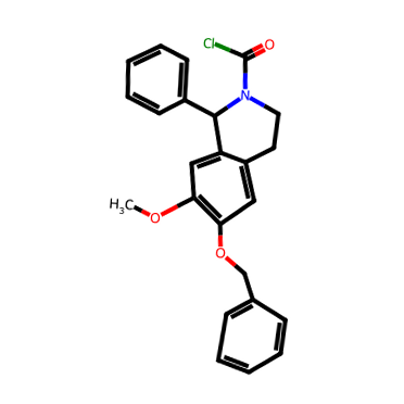 COc1cc2c(cc1OCc1ccccc1)CCN(C(=O)Cl)C2c1ccccc1